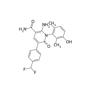 Cc1ccc(O)c(C)c1-n1c(N)c(C(N)=O)cc(-c2ccc(C(F)F)cc2)c1=O